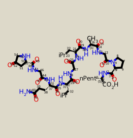 CCCCC[C@H](NC(=O)[C@@H]1CCCN1C(=O)CNC(=O)[C@H](C)NC(=O)[C@H](CC(C)C)NC(=O)CNC(=O)[C@H](CC(C)C)NC(=O)[C@H](CCC(N)=O)NC(=O)CNC(=O)[C@@H]1CC(=O)CN1)C(=O)O